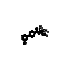 CC(C)(C)OC(=O)N1CC=C(c2cncc(Br)c2)CC1